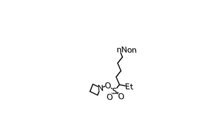 CCCCCCCCCCCCCC(CC)S(=O)(=O)ON1CCC1